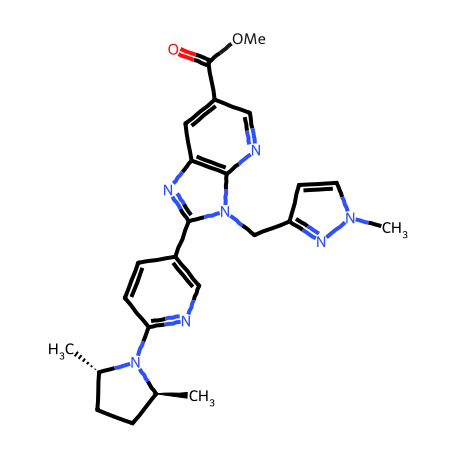 COC(=O)c1cnc2c(c1)nc(-c1ccc(N3[C@@H](C)CC[C@@H]3C)nc1)n2Cc1ccn(C)n1